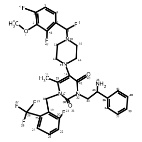 COc1c(F)ccc(C(F)N2CCN(c3c(C)n(Cc4c(F)cccc4C(F)(F)F)c(=O)n(CC(N)c4ccccc4)c3=O)CC2)c1F